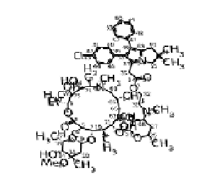 CC[C@H]1OC(=O)[C@H](C)[C@@H](O[C@H]2C[C@@](C)(OC)[C@@H](O)[C@H](C)O2)[C@H](C)[C@@H](O[C@@H]2O[C@H](C)C[C@H](N(C)CCOC(=O)Cc3c(-c4ccc(Cl)cc4)c(-c4ccccc4)c4n3CC(C)(C)C4)[C@H]2O)[C@](C)(O)C[C@@H](C)CN(C)[C@H](C)[C@@H](O)[C@]1(C)O